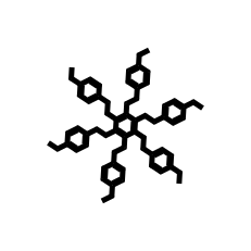 CCc1ccc(CCc2c(CCc3ccc(CC)cc3)c(CCc3ccc(CC)cc3)c(CCc3ccc(CC)cc3)c(CCc3ccc(CC)cc3)c2CCc2ccc(CC)cc2)cc1